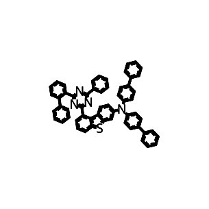 c1ccc(-c2ccc(N(c3ccc(-c4ccccc4)cc3)c3ccc4c(c3)sc3cccc(-c5nc(-c6ccccc6)nc(-c6ccccc6-c6ccccc6)n5)c34)cc2)cc1